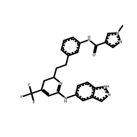 Cn1cc(C(=O)Nc2cccc(CCC3CC(C(F)(F)F)=CC(Nc4ccc5[nH]ncc5c4)=N3)c2)cn1